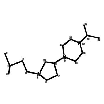 CC(C)CCN1CCC(N2CCN(C(C)C)CC2)C1